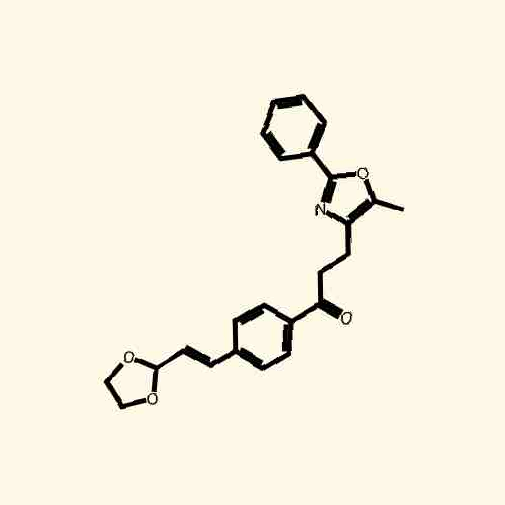 Cc1oc(-c2ccccc2)nc1CCC(=O)c1ccc(C=CC2OCCO2)cc1